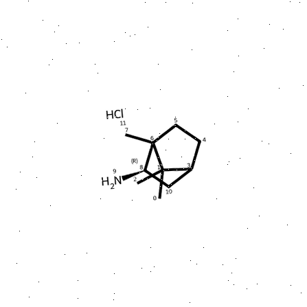 CC1(C)C2CCC1(C)[C@H](N)C2.Cl